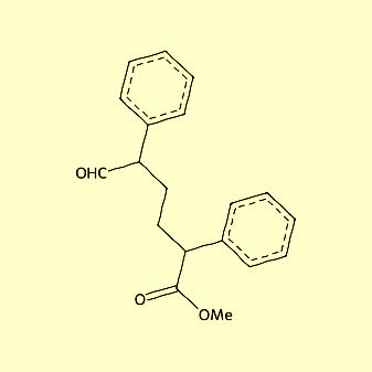 COC(=O)C(CCC(C=O)c1ccccc1)c1ccccc1